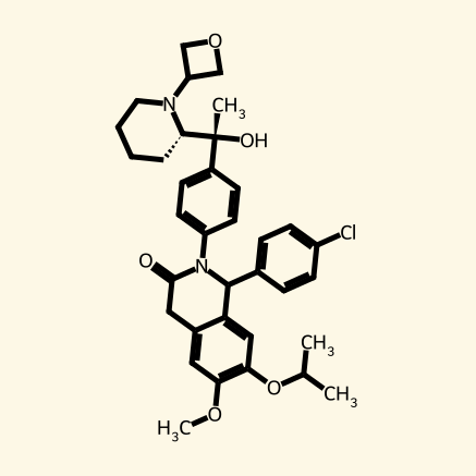 COc1cc2c(cc1OC(C)C)C(c1ccc(Cl)cc1)N(c1ccc([C@@](C)(O)[C@@H]3CCCCN3C3COC3)cc1)C(=O)C2